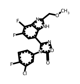 COCc1nc2c(F)c(F)cc(-c3noc(=O)n3-c3ccc(F)c(Cl)c3)c2[nH]1